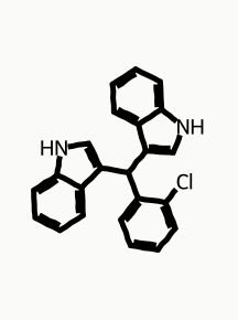 Clc1ccccc1C(c1c[nH]c2ccccc12)c1c[nH]c2ccccc12